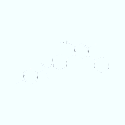 Cc1ccc(S(=O)(=O)N2CCN(c3cc(N4CCCCC4)c(F)cc3[N+](=O)[O-])CC2)cc1